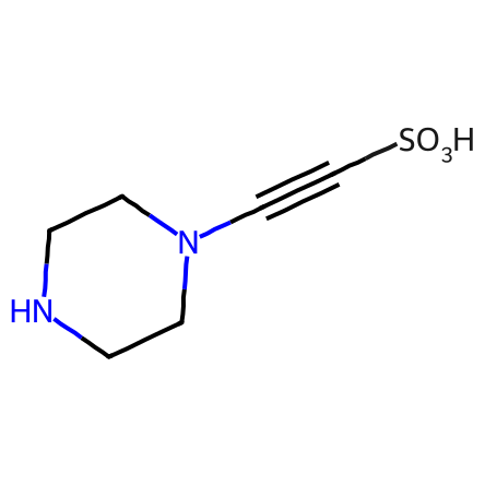 O=S(=O)(O)C#CN1CCNCC1